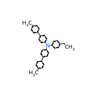 CCc1ccc(N(c2ccc(-c3ccc(C)cc3)cc2)c2ccc(-c3ccc(C)cc3)cc2)cc1